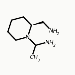 CC(N)N1CCCC[C@H]1CN